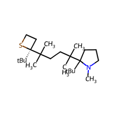 CN1CCCC1(C(C)(C)C)C(C)(C)CCC(C)(C)[C@]1(C(C)(C)C)CCS1